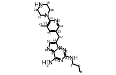 CCCNc1nc(N)c2ncc(Cc3cnc(N4CCNCC4)c(C)c3)n2n1